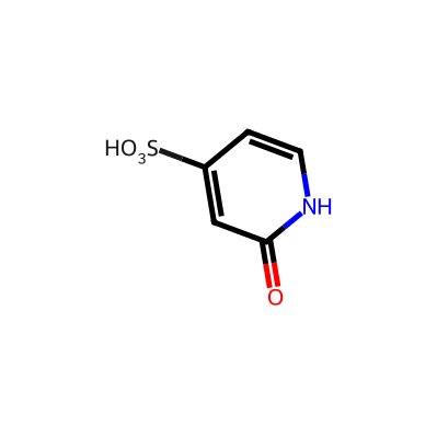 O=c1cc(S(=O)(=O)O)cc[nH]1